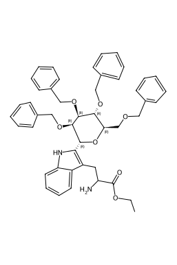 CCOC(=O)C(N)Cc1c([C@H]2O[C@H](COCc3ccccc3)[C@@H](OCc3ccccc3)[C@H](OCc3ccccc3)[C@@H]2OCc2ccccc2)[nH]c2ccccc12